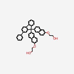 OCCOc1ccc2cc(C3(c4ccc5cc(OCCO)ccc5c4)c4ccccc4-c4ccc(-c5ccccc5)cc43)ccc2c1